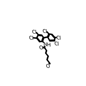 O=CCCCCC(=O)Nc1cc(Cl)c(Cl)cc1-c1cc(Cl)c(Cl)cc1Cl